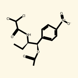 CC[C@@H](NC(=O)C(Cl)Cl)[C@H](OC(C)=O)c1ccc([N+](=O)[O-])cc1